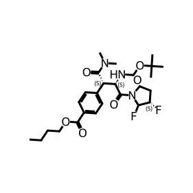 CCCCOC(=O)c1ccc([C@H](C(=O)N(C)C)[C@H](NC(=O)OC(C)(C)C)C(=O)N2CC[C@H](F)C2F)cc1